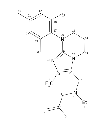 C=C(C)CN(CC)Cc1c(C(F)(F)F)nc2n1CCCN2c1c(C)cc(C)cc1C